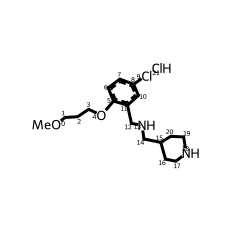 COCCCOc1ccc(Cl)cc1CNCC1CCNCC1.Cl